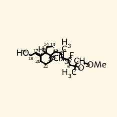 COCOC(C)(C)C[C@@H](F)C[C@@H](C)[C@H]1CC[C@H]2C(=CCO)CCC[C@]12C